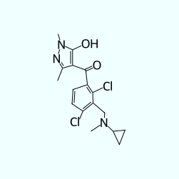 Cc1nn(C)c(O)c1C(=O)c1ccc(Cl)c(CN(C)C2CC2)c1Cl